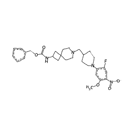 COc1cc(N2CCC(CN3CCC4(CC3)CC(NC(=O)OCc3ccccc3)C4)CC2)c(F)cc1[N+](=O)[O-]